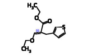 CCO/C=C(\Cc1ccsc1)C(=O)OCC